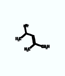 C[CH]CC(C)C=C(C)C(=O)O